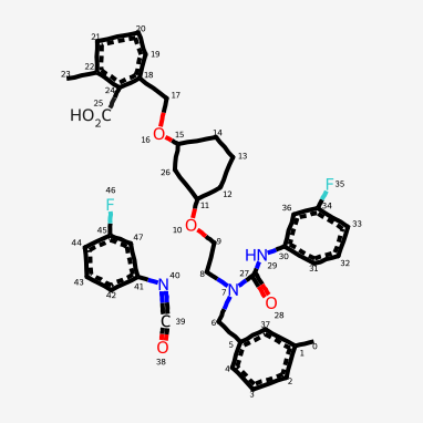 Cc1cccc(CN(CCOC2CCCC(OCc3cccc(C)c3C(=O)O)C2)C(=O)Nc2cccc(F)c2)c1.O=C=Nc1cccc(F)c1